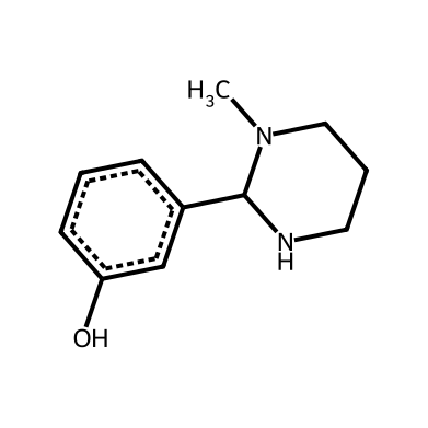 CN1CCCNC1c1cccc(O)c1